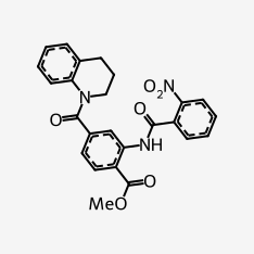 COC(=O)c1ccc(C(=O)N2CCCc3ccccc32)cc1NC(=O)c1ccccc1[N+](=O)[O-]